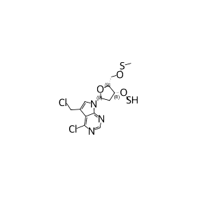 CSOC[C@H]1O[C@@H](n2cc(CCl)c3c(Cl)ncnc32)C[C@H]1OS